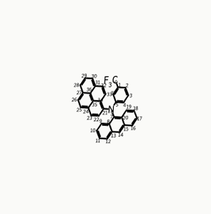 FC(F)(F)c1cccc(N(c2c3ccccc3cc3ccccc23)c2ccc3ccc4cccc5ccc2c3c45)c1